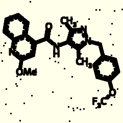 COc1cc(C(=O)Nc2c(C)nn(Cc3ccc(OC(F)(F)F)cc3)c2C)c2ccccc2n1